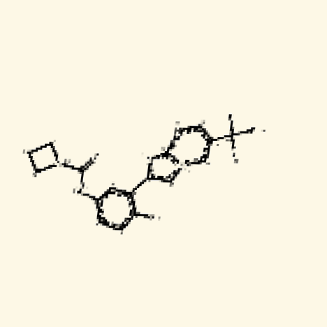 O=C(Nc1ccc(F)c(-c2cn3cc(C(F)(F)F)cnc3n2)c1)N1CCC1